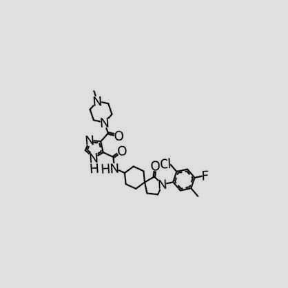 Cc1cc(N2CCC3(CCC(NC(=O)c4[nH]cnc4C(=O)N4CCN(C)CC4)CC3)C2=O)c(Cl)cc1F